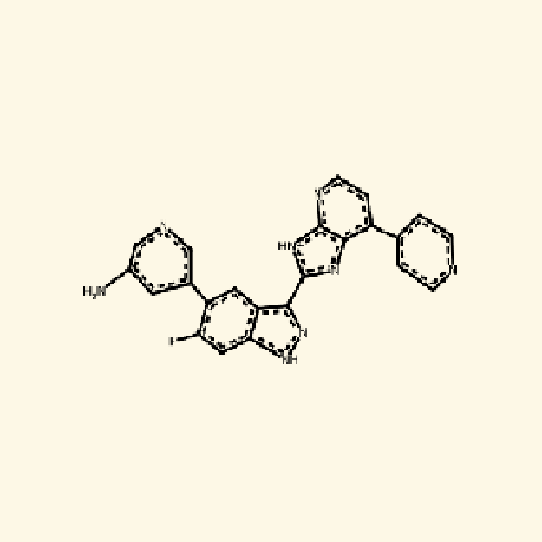 Nc1cncc(-c2cc3c(-c4nc5c(-c6ccncc6)ccnc5[nH]4)n[nH]c3cc2F)c1